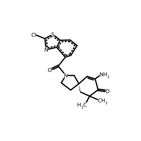 CC1(C)C[C@]2(C=C(N)C1=O)CCN(C(=O)c1cccc3sc(Cl)nc13)C2